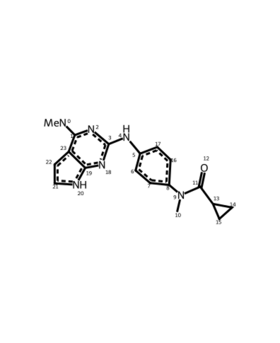 CNc1nc(Nc2ccc(N(C)C(=O)C3CC3)cc2)nc2[nH]ccc12